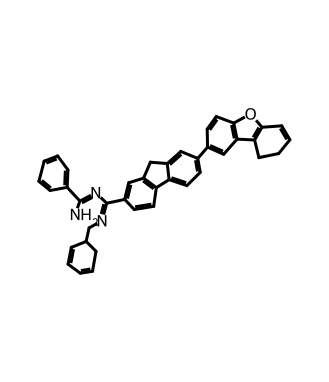 N/C(=N\C(=N/CC1C=CC=CC1)c1ccc2c(c1)Cc1cc(-c3ccc4oc5c(c4c3)CCC=C5)ccc1-2)c1ccccc1